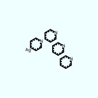 [Ag].c1ccncc1.c1ccncc1.c1ccncc1.c1ccncc1